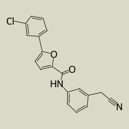 N#CCc1cccc(NC(=O)c2ccc(-c3cccc(Cl)c3)o2)c1